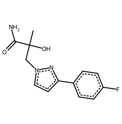 CC(O)(Cn1ccc(-c2ccc(F)cc2)n1)C(N)=O